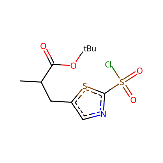 CC(Cc1cnc(S(=O)(=O)Cl)s1)C(=O)OC(C)(C)C